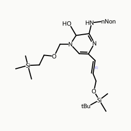 CCCCCCCCCNC1=NC(/C=C/CO[Si](C)(C)C(C)(C)C)=CN(COCC[Si](C)(C)C)C1O